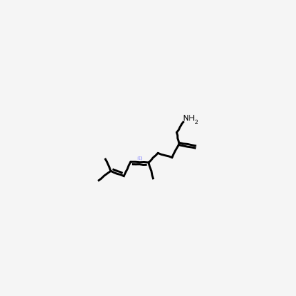 C=C(CN)CC/C(C)=C/C=C(C)C